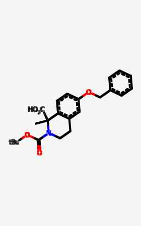 CC(C)(C)OC(=O)N1CCc2cc(OCc3ccccc3)ccc2C1(C)C(=O)O